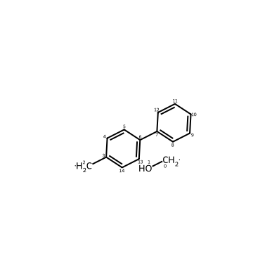 [CH2]O.[CH2]c1ccc(-c2ccccc2)cc1